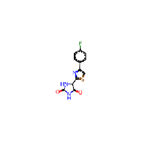 O=C1NC(=O)C(c2nc(-c3ccc(F)cc3)cs2)N1